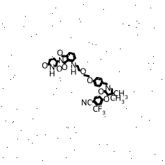 CC1(C)CN(Cc2ccc(OCCOCCNc3cccc4c3C(=O)N(C3CCC(=O)NC3=O)C4=O)cc2)C(=O)C1Oc1ccc(C#N)c(C(F)(F)F)c1